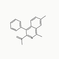 C=C(C)c1nc(C)c2cc(C)ccc2c1-c1ccccc1